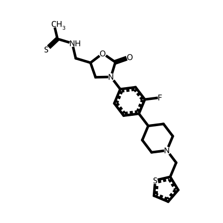 CC(=S)NCC1CN(c2ccc(C3CCN(Cc4cccs4)CC3)c(F)c2)C(=O)O1